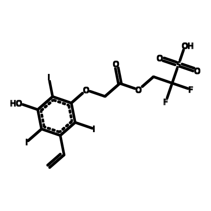 C=Cc1c(I)c(O)c(I)c(OCC(=O)OCC(F)(F)S(=O)(=O)O)c1I